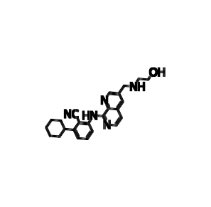 N#Cc1c(Nc2nccc3cc(CNCCO)cnc23)cccc1C1CCCCC1